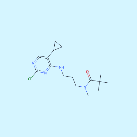 CN(CCCNc1nc(Cl)ncc1C1CC1)C(=O)C(C)(C)C